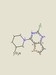 O=C(O)C1CCCN(c2nc(Cl)nc3ccsc23)C1